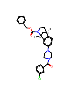 O=C(c1cccc(Cl)c1)N1CCN(c2ccc3c(c2)[C@H]2C[C@H]3CCN2C(=O)OCc2ccccc2)CC1